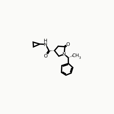 C[C@H](c1ccccc1)N1C[C@H](C(=O)NC2CC2)CC1=O